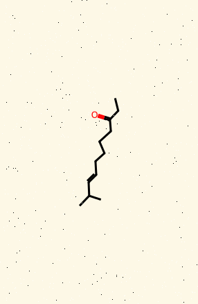 CCC(=O)CCCCC=CC(C)C